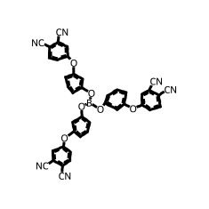 N#Cc1ccc(Oc2cccc(OB(Oc3cccc(Oc4ccc(C#N)c(C#N)c4)c3)Oc3cccc(Oc4ccc(C#N)c(C#N)c4)c3)c2)cc1C#N